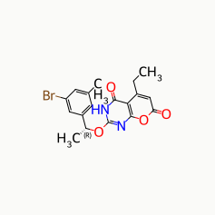 CCc1cc(=O)oc2nc(O[C@H](C)c3cc(C)cc(Br)c3)[nH]c(=O)c12